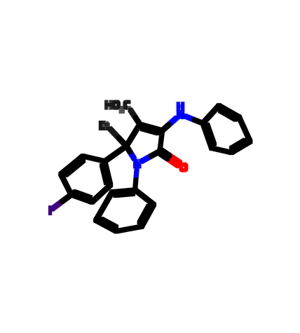 CCC1(c2ccc(I)cc2)C(C(=O)O)=C(Nc2ccccc2)C(=O)N1c1ccccc1